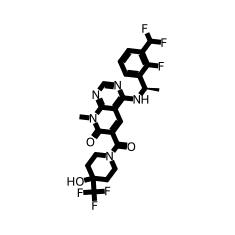 C[C@@H](Nc1ncnc2c1cc(C(=O)N1CCC(O)(C(F)(F)F)CC1)c(=O)n2C)c1cccc(C(F)F)c1F